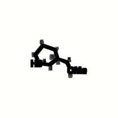 COC[C@H]1CBCCC1